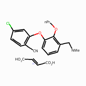 CCCOc1c(CNC)cccc1Oc1cc(Cl)ccc1C#N.O=C(O)/C=C/C(=O)O